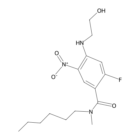 CCCCCCN(C)C(=O)c1cc([N+](=O)[O-])c(NCCO)cc1F